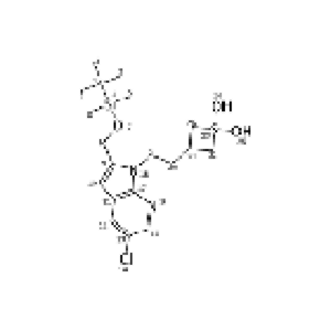 CC(C)(C)[Si](C)(C)OCc1cc2cc(Cl)cnc2n1CCC1CS(O)(O)C1